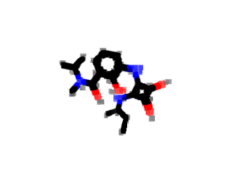 CC[C@@H](C)Nc1c(Nc2cccc(C(=O)N(C)C(C)C)c2O)c(=O)c1=O